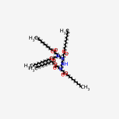 CCCCCCCCCCCCOC(=O)CCN(CCNCCN(CCC(=O)OCCCCCCCCCCCC)CCN(CCC(=O)OCCCCCCCCCCCC)CCC(=O)OCCCCCCCCCCCC)CCC(=O)OCCCCCCCCCCCC